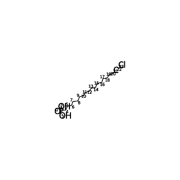 O=P(O)(O)CCCCCCCCCCCCCCCCCCCCl